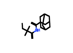 C=C(NC(=C)C12CC3CC(CC(C3)C1)C2)C(C)(C)CC